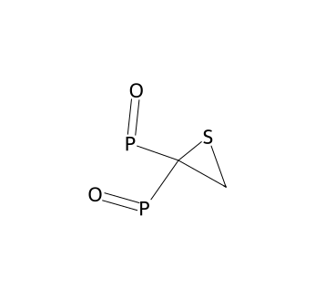 O=PC1(P=O)CS1